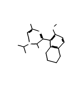 CCOc1ccc2c(c1C1=NC(CC)=CN(C(CC)CC)C1CC)CCCC2